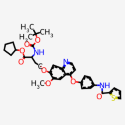 COc1cc2c(Oc3ccc(NC(=O)c4cccs4)cc3)ccnc2cc1OCCC(NC(=O)OC(C)(C)C)C(=O)OC1CCCC1